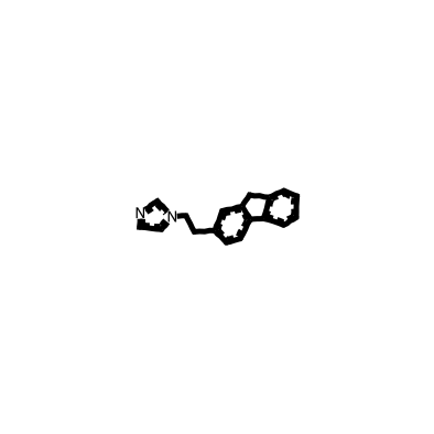 c1ccc2c(c1)Cc1cc(CCn3ccnc3)ccc1-2